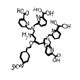 CC(/C=C(\C=C(/N)CN(Cc1cccc(C(=O)O)n1)Cc1cccc(C(O)O)n1)OCCC1CCC(N=C=S)CC1)CN(CC1=CCCC(C(O)O)=N1)Cc1cccc(C(=O)O)n1